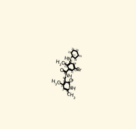 Cc1cc(C)c(CNC(=O)c2cc(Br)cc(NC3CCCCC3)c2C)c(=O)[nH]1